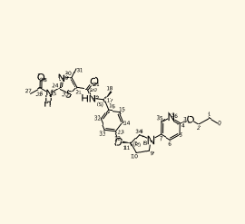 CCCOc1ccc(N2CC[C@@H](Oc3ccc([C@H](C)NC(=O)c4sc(NC(C)=O)nc4C)cc3)C2)cn1